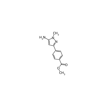 COC(=O)c1ccc(-c2cc(N)n(C)n2)cc1